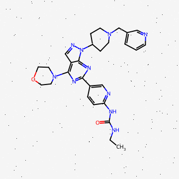 CCNC(=O)Nc1ccc(-c2nc(N3CCOCC3)c3cnn(C4CCN(Cc5cccnc5)CC4)c3n2)cn1